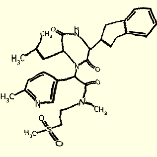 Cc1ccc(C(C(=O)N(C)CCS(C)(=O)=O)N2C(=O)C(C3Cc4ccccc4C3)NC(=O)C2CC(C)C)cn1